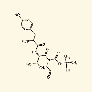 C[C@H](O)[C@@H](NC(=O)[C@@H](N)Cc1ccc(O)cc1)C(=O)N(C[C]=O)C(=O)OC(C)(C)C